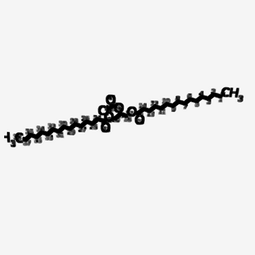 CCCCCCCCCCCCCCCC(=O)OCC(COC(=O)CCCCCCCCCCCCCCC)OC(=O)Cl